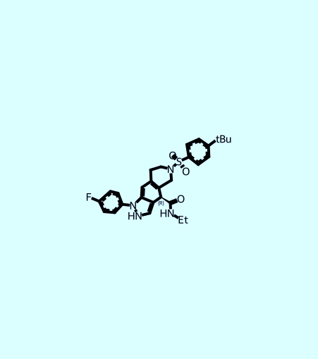 CCNC(=O)[C@H]1C2=CNN(c3ccc(F)cc3)C2=CC2=C1CN(S(=O)(=O)c1ccc(C(C)(C)C)cc1)CC2